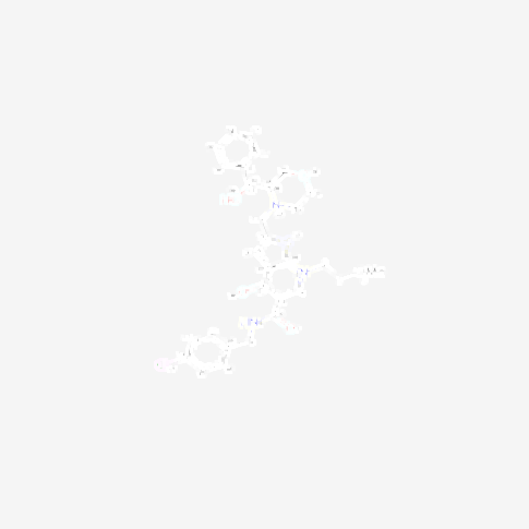 COCCn1cc(C(=O)NCc2ccc(Cl)cc2)c(=O)c2cc(CN3CCOC[C@@H]3[C@@H](O)c3ccccc3)sc21